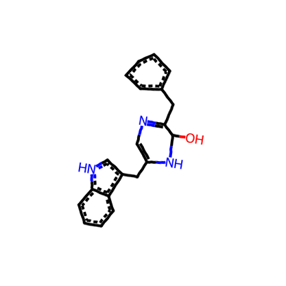 OC1NC(Cc2c[nH]c3ccccc23)=CN=C1Cc1ccccc1